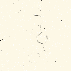 NCC(=CF)CN1CCc2cc(C(=O)N3CCC(O)CC3)ccc21